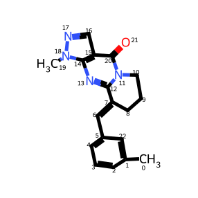 Cc1cccc(/C=C2\CCCn3c2nc2c(cnn2C)c3=O)c1